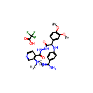 CCOc1cc(C(Nc2ccc(C(=N)N)cc2)C(=O)NNC(=O)c2ccncc2N(C)C)ccc1OC(C)C.O=C(O)C(F)(F)F